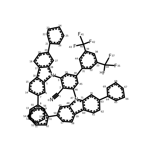 N#Cc1c(-n2c3cc(-c4ccccc4)ccc3c3ccc(-c4ccccc4)cc32)cc(-c2cc(C(F)(F)F)cc(C(F)(F)F)c2)cc1-n1c2cc(-c3ccccc3)ccc2c2ccc(-c3ccccc3)cc21